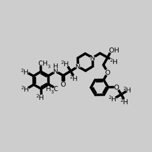 [2H]c1c([2H])c(C)c(NC(=O)C([2H])([2H])N2CCN(CC([2H])(O)COc3ccccc3OC([2H])([2H])[2H])CC2)c(C)c1[2H]